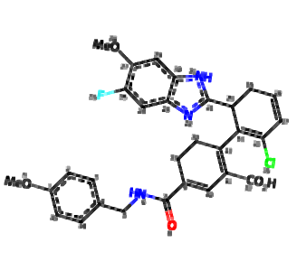 COc1ccc(CNC(=O)C2=CC(C(=O)O)=C(C3=C(Cl)C=CCC3c3nc4cc(F)c(OC)cc4[nH]3)CC2)cc1